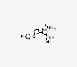 NC(=O)c1cc(C(O)CO)cc(-c2cccc(Oc3ccc(F)cc3)c2)n1